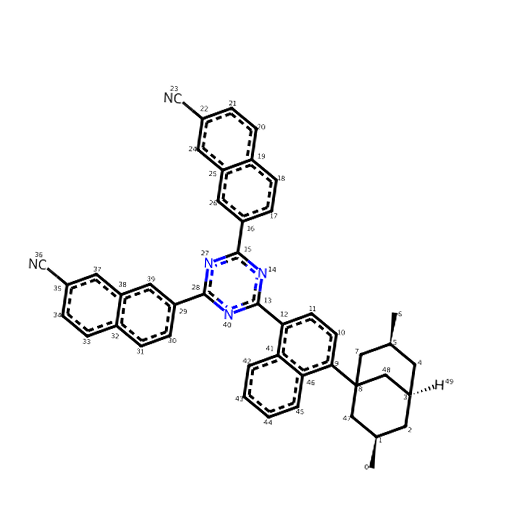 C[C@@H]1C[C@@H]2C[C@H](C)CC(c3ccc(-c4nc(-c5ccc6ccc(C#N)cc6c5)nc(-c5ccc6ccc(C#N)cc6c5)n4)c4ccccc34)(C1)C2